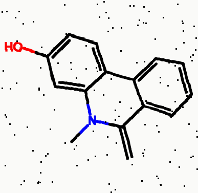 C=C1c2ccccc2-c2ccc(O)cc2N1C